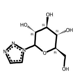 OC[C@H]1OC(n2ccnn2)[C@H](O)[C@@H](O)[C@@H]1O